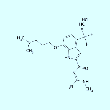 CNC(N)=NC(=O)c1cc2c(C(F)(F)F)ccc(OCCCN(C)C)c2[nH]1.Cl.Cl